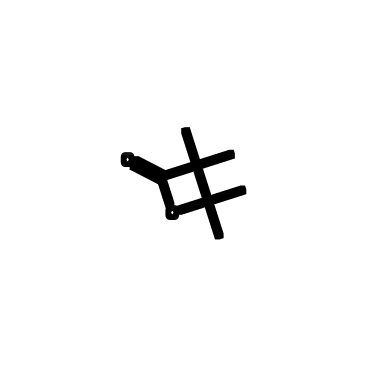 CC1(C)OC(=O)C1(C)C